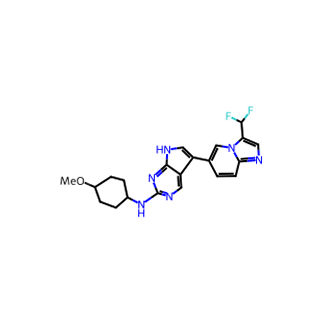 COC1CCC(Nc2ncc3c(-c4ccc5ncc(C(F)F)n5c4)c[nH]c3n2)CC1